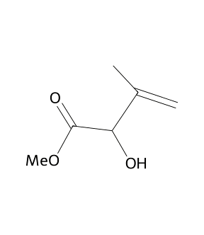 C=C(C)C(O)C(=O)OC